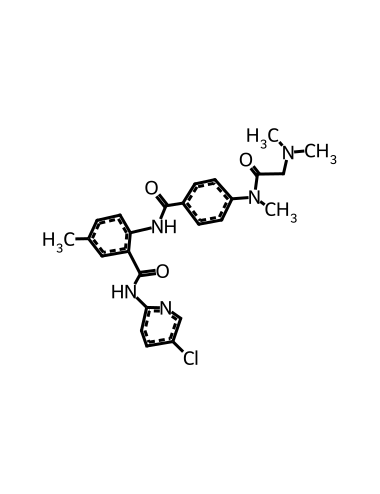 Cc1ccc(NC(=O)c2ccc(N(C)C(=O)CN(C)C)cc2)c(C(=O)Nc2ccc(Cl)cn2)c1